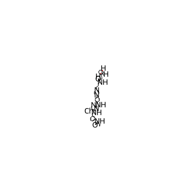 C=CC(=O)Nc1cccc(CNc2nc(Nc3ccc(N4CCN(CCCNC(=O)CC5[C@H]6CC[C@H](CC6)C[C@H]5C)CC4)cc3)ncc2Cl)c1